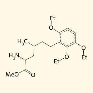 CCOc1ccc(OCC)c(OCC)c1CCC(C)CC(N)C(=O)OC